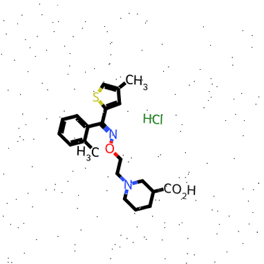 Cc1csc(C(=NOCCN2CCCC(C(=O)O)C2)c2ccccc2C)c1.Cl